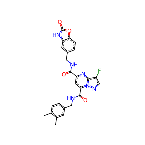 Cc1ccc(CNC(=O)c2cc(C(=O)NCc3ccc4oc(=O)[nH]c4c3)nc3c(F)cnn23)cc1C